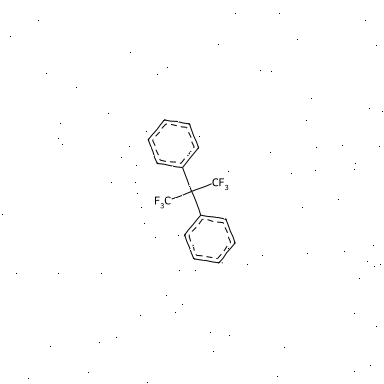 FC(F)(F)C(c1cc[c]cc1)(c1ccccc1)C(F)(F)F